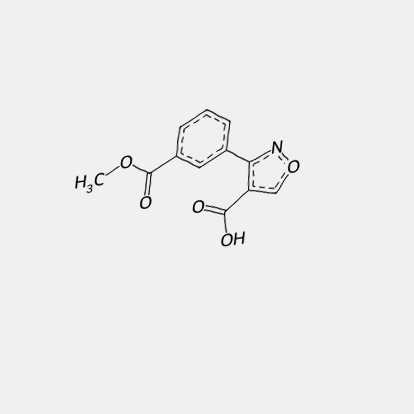 COC(=O)c1cccc(-c2nocc2C(=O)O)c1